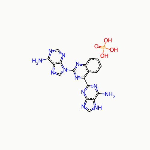 Nc1ncnc2c1ncn2-c1nc(-c2nc(N)c3[nH]cnc3n2)c2ccccc2n1.O=P(O)(O)O